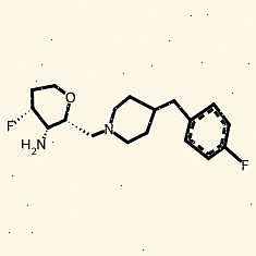 N[C@@H]1[C@H](F)CCO[C@@H]1CN1CCC(Cc2ccc(F)cc2)CC1